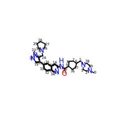 CN1CCN(CC2CCC(C(=O)Nc3cc4cc(-c5cnn(C)c5CN5CCCCC5)ccc4cn3)CC2)CC1